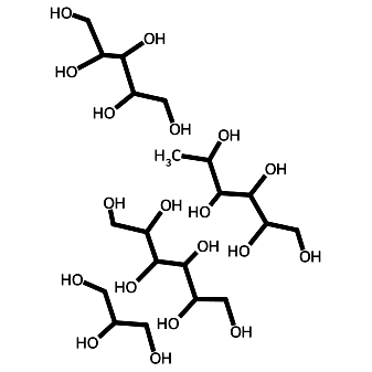 CC(O)C(O)C(O)C(O)CO.OCC(O)C(O)C(O)C(O)CO.OCC(O)C(O)C(O)CO.OCC(O)CO